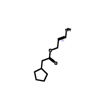 CCC/C=C/COC(=O)CC1CCCC1